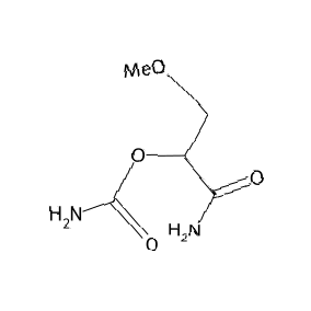 COCC(OC(N)=O)C(N)=O